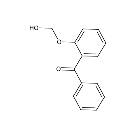 O=C(c1ccccc1)c1ccccc1OCO